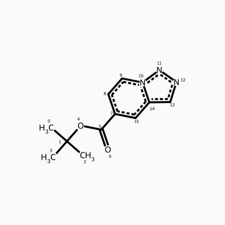 CC(C)(C)OC(=O)c1ccn2nncc2c1